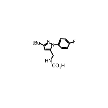 CC(C)(C)c1cc(CNC(=O)O)n(-c2ccc(F)cc2)n1